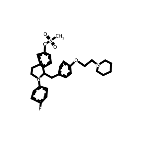 CS(=O)(=O)Oc1ccc2c(c1)CCN(c1ccc(F)cc1)C2Cc1ccc(OCCN2CCCCC2)cc1